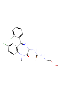 COCCNC(=S)NC1N=C(c2ccccc2Cl)c2cc(Cl)ccc2N(C)C1=O